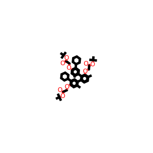 Cc1cc(OCC(=O)OC(C)(C)C)c(C2CCCCC2)cc1-c1ccc(C)c(OCC(=O)OC(C)(C)C)c1-c1cc(C2CCCCC2)c(OCC(=O)OC(C)(C)C)cc1C